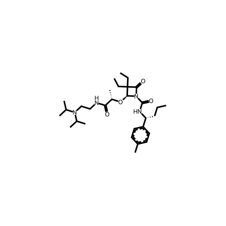 CCC[C@@H](NC(=O)N1C(=O)C(CC)(CC)[C@@H]1O[C@@H](C)C(=O)NCCN(C(C)C)C(C)C)c1ccc(C)cc1